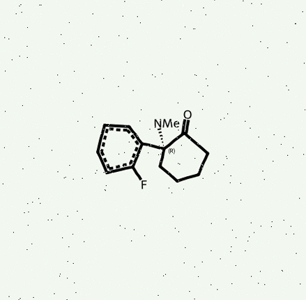 CN[C@@]1(c2ccccc2F)CCCCC1=O